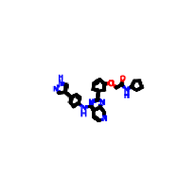 O=C(COc1cccc(-c2nc(Nc3ccc(-c4cn[nH]c4)cc3)c3ccncc3n2)c1)NC1CCCC1